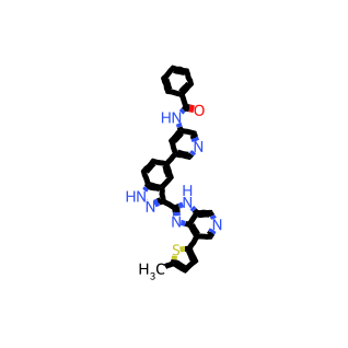 Cc1ccc(-c2cncc3[nH]c(-c4n[nH]c5ccc(-c6cncc(NC(=O)c7ccccc7)c6)cc45)nc23)s1